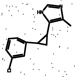 Cc1nc[nH]c1C1CC1c1cccc(Cl)c1